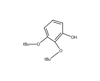 CC(C)(C)Oc1cccc(O)c1OC(C)(C)C